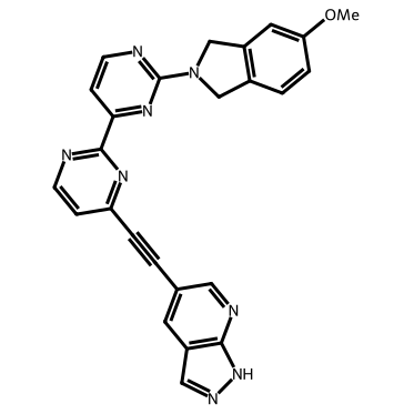 COc1ccc2c(c1)CN(c1nccc(-c3nccc(C#Cc4cnc5[nH]ncc5c4)n3)n1)C2